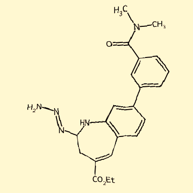 CCOC(=O)C1=Cc2ccc(-c3cccc(C(=O)N(C)C)c3)cc2NC(N=NN)C1